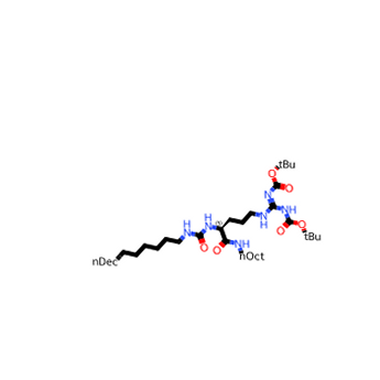 CCCCCCCCCCCCCCCCNC(=O)N[C@@H](CCCNC(=NC(=O)OC(C)(C)C)NC(=O)OC(C)(C)C)C(=O)NCCCCCCCC